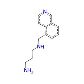 NCCCNCc1cccc2cnccc12